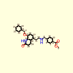 COC(=O)c1ccc(CNCCc2ccc(OCc3ccccc3)c3[nH]c(=O)ccc23)cc1